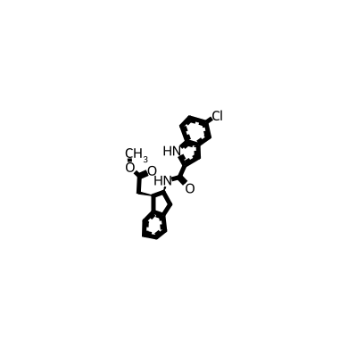 COC(=O)C[C@@H]1c2ccccc2C[C@H]1NC(=O)c1cc2cc(Cl)ccc2[nH]1